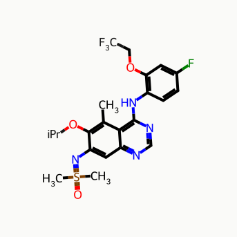 Cc1c(OC(C)C)c(N=S(C)(C)=O)cc2ncnc(Nc3ccc(F)cc3OCC(F)(F)F)c12